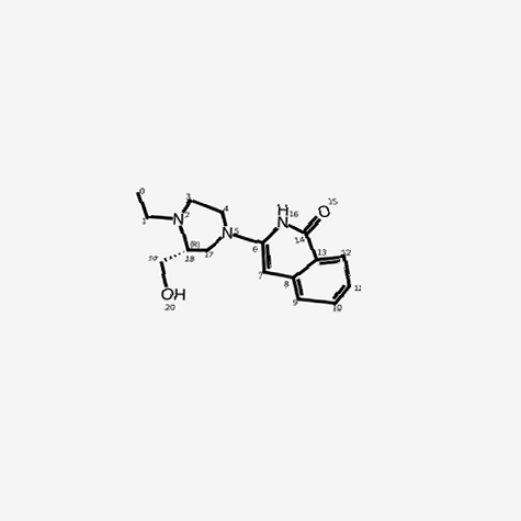 CCN1CCN(c2cc3ccccc3c(=O)[nH]2)C[C@@H]1CO